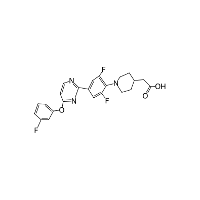 O=C(O)CC1CCN(c2c(F)cc(-c3nccc(Oc4cccc(F)c4)n3)cc2F)CC1